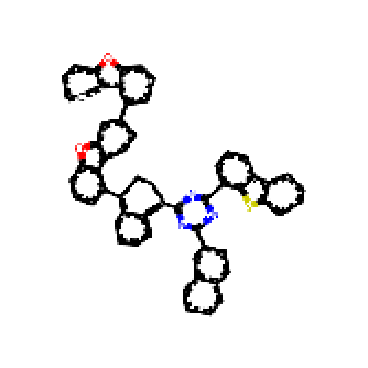 c1ccc2c(c1)=C(c1nc(-c3ccc4ccccc4c3)nc(-c3cccc4c3sc3ccccc34)n1)CCC=2c1cccc2oc3cc(-c4cccc5oc6ccccc6c45)ccc3c12